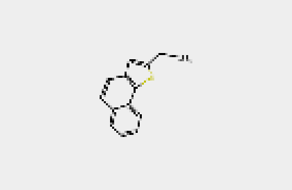 CCc1cc2ccc3ccccc3c2s1